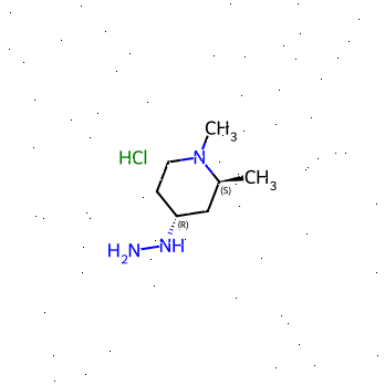 C[C@H]1C[C@H](NN)CCN1C.Cl